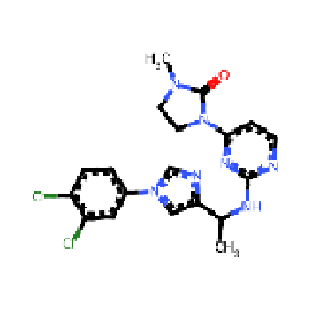 CC(Nc1nccc(N2CCN(C)C2=O)n1)c1cn(-c2ccc(Cl)c(Cl)c2)cn1